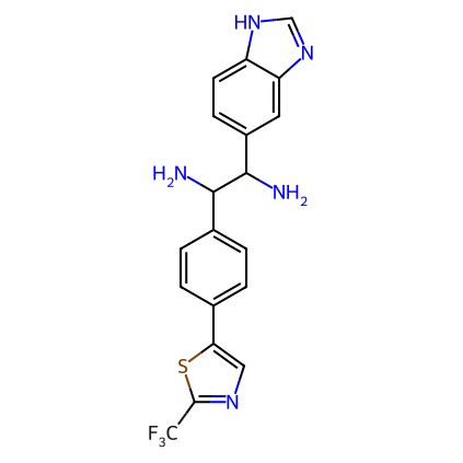 NC(c1ccc(-c2cnc(C(F)(F)F)s2)cc1)C(N)c1ccc2[nH]cnc2c1